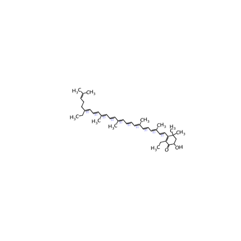 CCC1=C(/C=C/C(C)=C/C=C/C(C)=C/C=C/C=C(C)/C=C/C=C(C)/C=C/C=C(\CC)CCC=C(C)C)C(C)(C)CC(O)C1=O